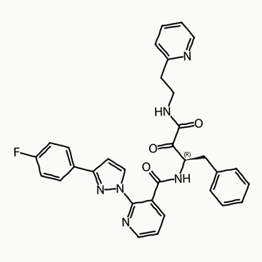 O=C(NCCc1ccccn1)C(=O)[C@@H](Cc1ccccc1)NC(=O)c1cccnc1-n1ccc(-c2ccc(F)cc2)n1